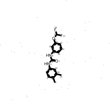 Cc1ccc(NC(=O)Nc2cccc(OC(F)F)c2)cc1C